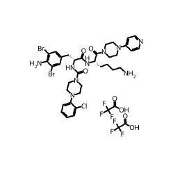 NCCCC[C@H](NC(=O)[C@@H](Cc1cc(Br)c(N)c(Br)c1)NC(=O)N1CCN(c2ccccc2Cl)CC1)C(=O)N1CCN(c2ccncc2)CC1.O=C(O)C(F)(F)F.O=C(O)C(F)(F)F